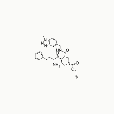 C#CCOC(=O)N1CCN(C(=O)C(N)CCc2ccccc2)C(C(=O)NCc2ccc3c(c2)nnn3C)C1